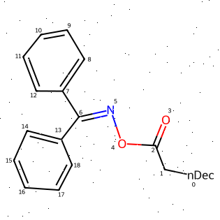 CCCCCCCCCCCC(=O)ON=C(c1ccccc1)c1ccccc1